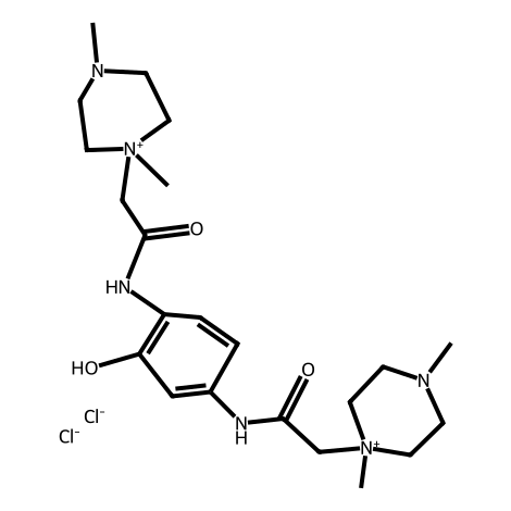 CN1CC[N+](C)(CC(=O)Nc2ccc(NC(=O)C[N+]3(C)CCN(C)CC3)c(O)c2)CC1.[Cl-].[Cl-]